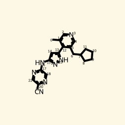 Cc1cncc(CC2CCCC2)c1-c1cc(Nc2cnc(C#N)cn2)n[nH]1